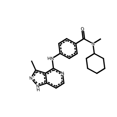 Cc1n[nH]c2ccnc(Nc3ccc(C(=O)N(C)C4CCCCC4)cc3)c12